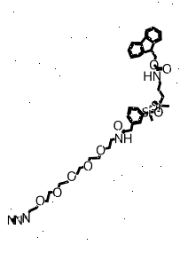 C[Si](C)(CCCNC(=O)OCC1c2ccccc2-c2ccccc21)O[Si](C)(C)c1cccc(CC(=O)NCCOCCOCCOCCOCCOCCN=[N+]=[N-])c1